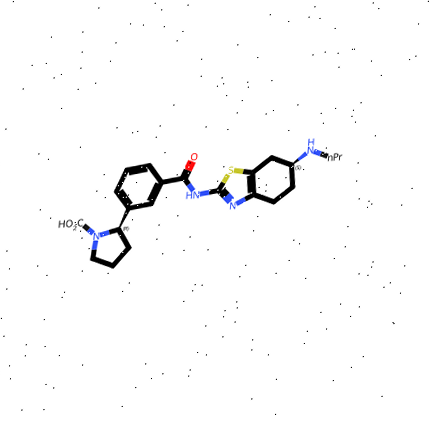 CCCN[C@H]1CCc2nc(NC(=O)c3cccc([C@H]4CCCN4C(=O)O)c3)sc2C1